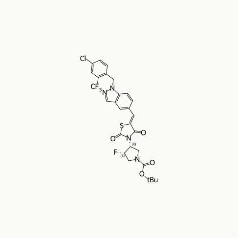 CC(C)(C)OC(=O)N1C[C@@H](N2C(=O)SC(=Cc3ccc4c(cnn4Cc4ccc(Cl)cc4C(F)(F)F)c3)C2=O)[C@@H](F)C1